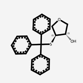 O[C@H]1COC[C@@H]1SC(c1ccccc1)(c1ccccc1)c1ccccc1